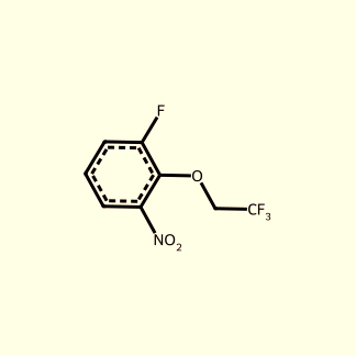 O=[N+]([O-])c1cccc(F)c1OCC(F)(F)F